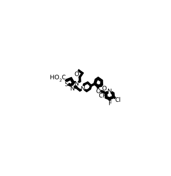 CC1(c2cc(F)c(Cl)cn2)Oc2cccc(C3CCN(Cc4nc5sc(C(=O)O)cc5n4CC4CCO4)CC3)c2O1